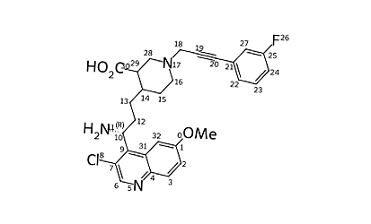 COc1ccc2ncc(Cl)c([C@H](N)CCC3CCN(CC#Cc4cccc(F)c4)CC3C(=O)O)c2c1